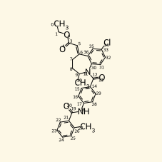 CCOC(=O)C=C1CCC(C)N(C(=O)c2ccc(NC(=O)c3ccccc3C)cc2)c2ccc(Cl)cc21